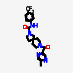 Cc1cnc(C(=O)N2CCC3(CCN(C(=O)Nc4ccc(C(F)(F)F)cc4)C3)CC2)cn1